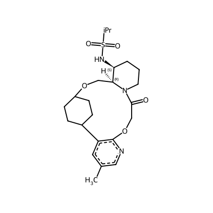 Cc1cnc2c(c1)C1CCC(CC1)OC[C@H]1[C@@H](NS(=O)(=O)C(C)C)CCCN1C(=O)CO2